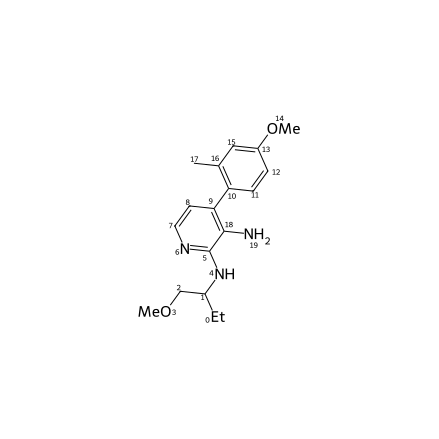 CCC(COC)Nc1nccc(-c2ccc(OC)cc2C)c1N